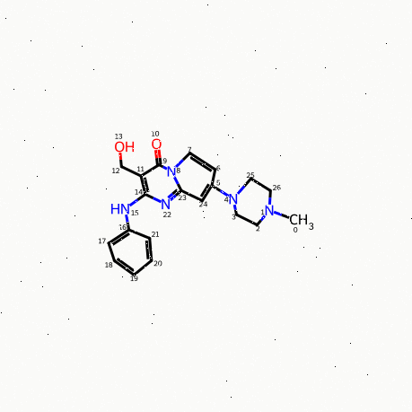 CN1CCN(c2ccn3c(=O)c(CO)c(Nc4ccccc4)nc3c2)CC1